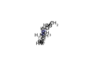 C=CC(=O)Nc1cccc(-c2cccc(=C/N=C(\N)Nc3ccc(N4CCNC4=O)cc3)/c2=C\C)c1